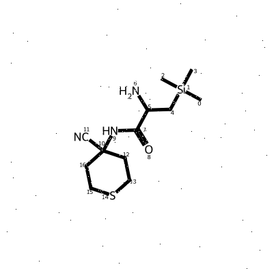 C[Si](C)(C)CC(N)C(=O)NC1(C#N)CCSCC1